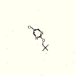 CC(C)(C)COc1ncc(Cl)cn1